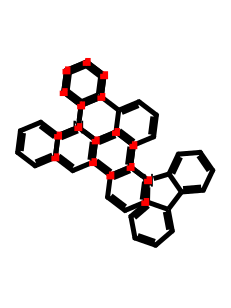 c1ccc(-c2ccccc2-c2c(-c3ccccc3)cccc2-c2ccccc2N(c2ccccc2)c2ccc(-n3c4ccccc4c4ccccc43)cc2)cc1